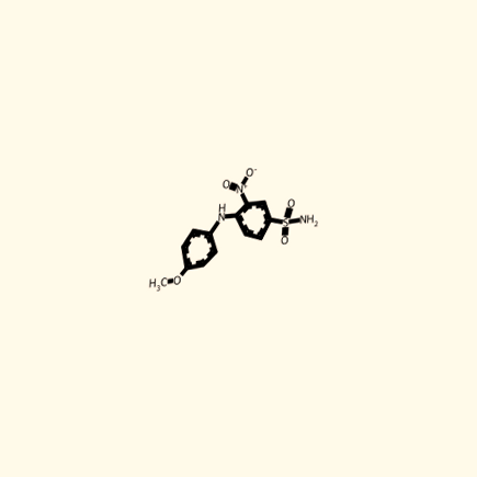 COc1ccc(Nc2ccc(S(N)(=O)=O)cc2[N+](=O)[O-])cc1